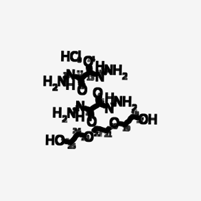 Cl.NNC(=O)C(=O)NN.NNC(=O)C(=O)NN.OCCOCCOCCO